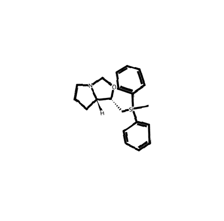 C[Si](C[C@H]1OCN2CCC[C@@H]12)(c1ccccc1)c1ccccc1